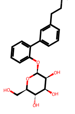 O=S(=O)(O)CCc1cccc(-c2ccccc2O[C@@H]2O[C@H](CO)[C@@H](O)[C@H](O)[C@@H]2O)c1